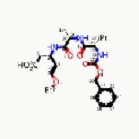 CCO/C=C/[C@H](CC(=O)O)NC(=O)[C@H](C)NC(=O)[C@@H](NC(=O)OCc1ccccc1)C(C)C